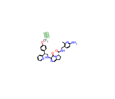 Cc1nc(N)ccc1CNC(=O)[C@@H]1CCc2cnc(NC[C@H](c3ccc(OC(F)(F)F)cc3)c3ccccn3)c(=O)n21.Cl.Cl.Cl